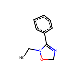 N#CCN1OCN=C1c1ccccc1